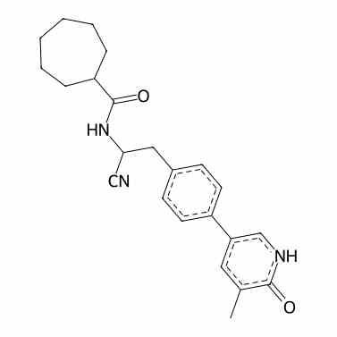 Cc1cc(-c2ccc(CC(C#N)NC(=O)C3CCCCCC3)cc2)c[nH]c1=O